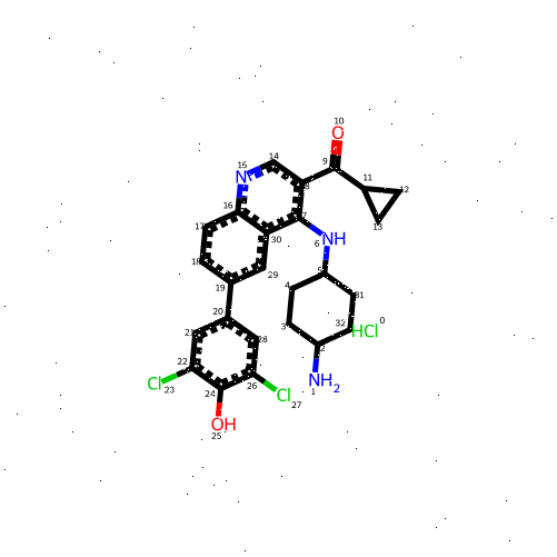 Cl.NC1CCC(Nc2c(C(=O)C3CC3)cnc3ccc(-c4cc(Cl)c(O)c(Cl)c4)cc23)CC1